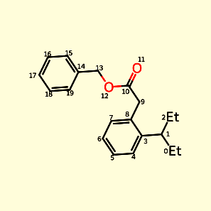 CCC(CC)c1ccccc1CC(=O)OCc1ccccc1